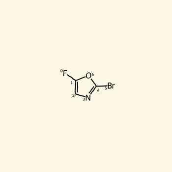 Fc1[c]nc(Br)o1